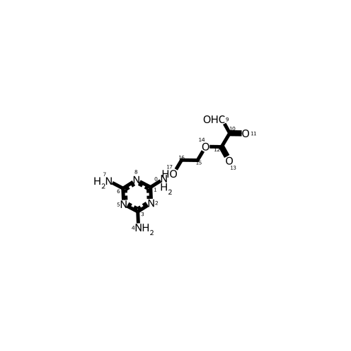 Nc1nc(N)nc(N)n1.O=CC(=O)C(=O)OCCO